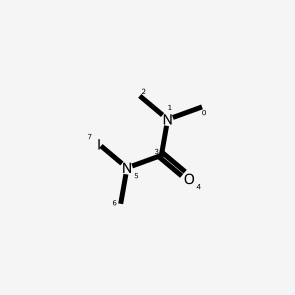 CN(C)C(=O)N(C)I